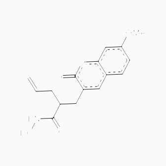 C=CCC(Cc1cc2ccc(OC)cc2oc1=O)C(=O)NO